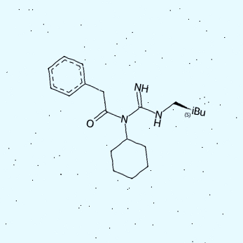 CC[C@H](C)CNC(=N)N(C(=O)Cc1ccccc1)C1CCCCC1